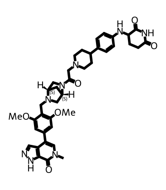 COc1cc(-c2cn(C)c(=O)c3[nH]ncc23)cc(OC)c1CN1C[C@@H]2C[C@H]1CN2C(=O)CN1CCC(c2ccc(NC3CCC(=O)NC3=O)cc2)CC1